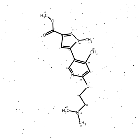 COC(=O)c1cc(-c2cnc(OCCN(C)C)cc2C)n(C)n1